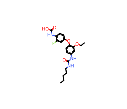 CCCCCNC(=O)Nc1ccc(Oc2ccc(NC(=O)O)c(F)c2)c(OCC)c1